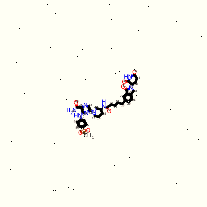 CS(=O)(=O)c1ccc(Nc2nc(N3CCC[C@@H](NC(=O)CCCCc4ccc5c(c4)C(=O)N(C4CCC(=O)NC4=O)C5)C3)cnc2C(N)=O)cc1